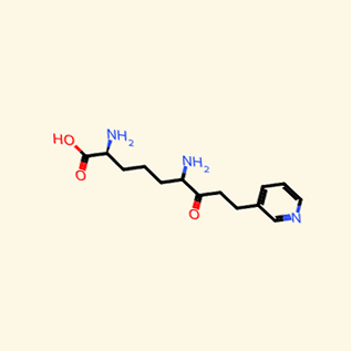 NC(CCC[C@H](N)C(=O)O)C(=O)CCc1cccnc1